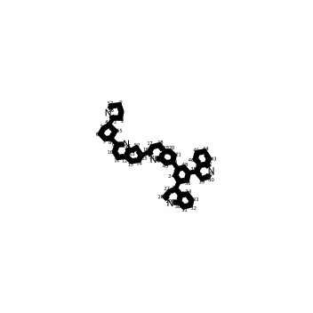 c1ccc(-c2cccc(-c3ccc4ccc(-c5ccc6ccc(-c7cc(-c8ccnc9ccccc89)cc(-c8ccnc9ccccc89)c7)cc6n5)cc4n3)c2)nc1